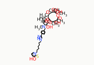 CC[C@H]1OC(=O)[C@H](C)[C@@H](O)[C@H](C)[C@@H](O[C@@H]2O[C@H](C)C[C@H](N(C)Cc3ccc(-c4cn(CCCCCCCn5cccc(O)c5=S)nn4)cc3)[C@H]2O)[C@](C)(OC)C[C@@H](C)C(=O)[C@H](C)[C@@H](O)[C@]1(C)O